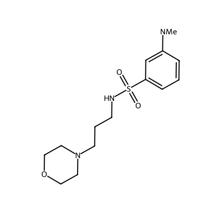 CNc1cccc(S(=O)(=O)NCCCN2CCOCC2)c1